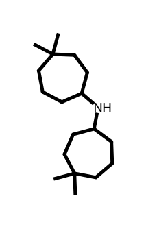 CC1(C)CCCC(NC2CCCC(C)(C)CC2)CC1